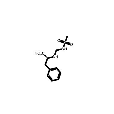 CS(=O)(=O)NCN[C@@H](Cc1ccccc1)C(=O)O